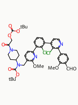 COc1cc(-c2nccc(-c3cccc(-c4ccc(CN(C(=O)OC(C)(C)C)C5CCN(C(=O)COC(=O)OC(C)(C)C)CC5)c(OC)n4)c3Cl)c2Cl)ccc1C=O